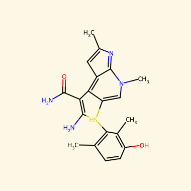 Cc1cc2c3c(cn(C)c-2n1)[SH](c1c(C)ccc(O)c1C)C(N)=C3C(N)=O